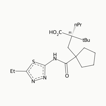 CCC[C@](CC1(C(=O)Nc2nnc(CC)s2)CCCC1)(C(=O)O)C(C)(C)C